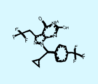 O=c1[nH]c(O)nc2c1c(CC(F)(F)F)nn2C(c1ccc(C(F)(F)F)cc1)C1CC1